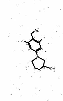 CC(=O)Cc1c(F)cc(N2CCCC(O)C2)cc1F